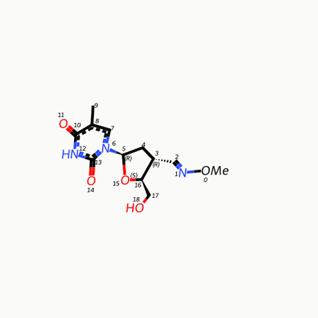 CON=C[C@H]1C[C@H](n2cc(C)c(=O)[nH]c2=O)O[C@@H]1CO